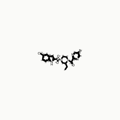 CCC1CN(S(=O)(=O)c2cc3cc(Cl)ccc3[nH]2)CCN1C(=O)c1ncc(Br)cn1